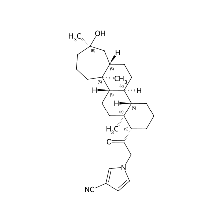 C[C@@]1(O)CCC[C@@]2(C)[C@@H](CC[C@@H]3[C@@H]2CC[C@]2(C)[C@@H](C(=O)Cn4ccc(C#N)c4)CCC[C@@H]32)C1